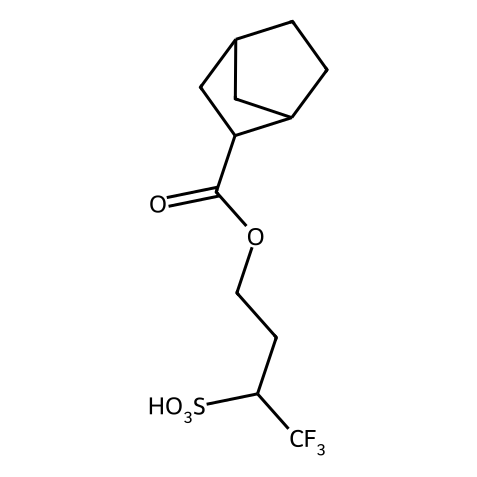 O=C(OCCC(C(F)(F)F)S(=O)(=O)O)C1CC2CCC1C2